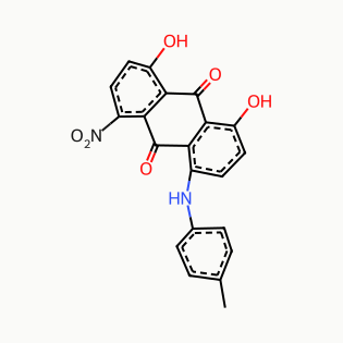 Cc1ccc(Nc2ccc(O)c3c2C(=O)c2c([N+](=O)[O-])ccc(O)c2C3=O)cc1